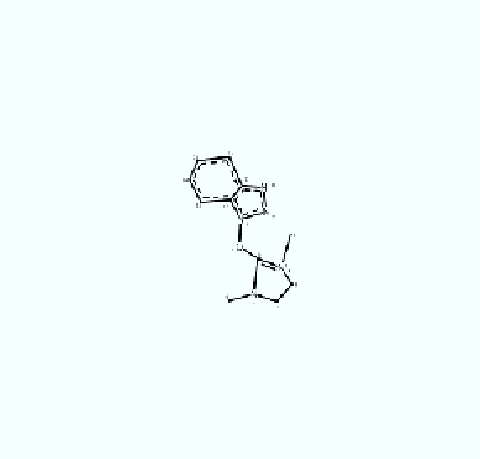 CN1CC[N+](C)=C1On1nnc2ccccc21